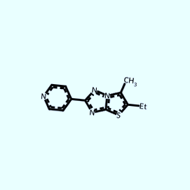 CCc1sc2nc(-c3ccncc3)nn2c1C